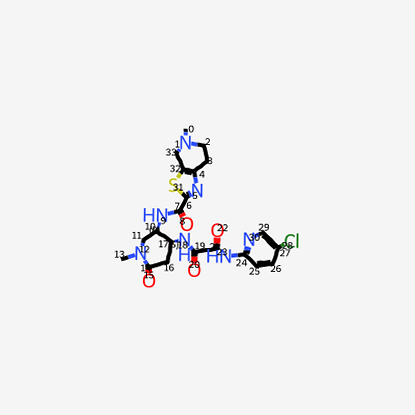 CN1CCc2nc(C(=O)N[C@@H]3CN(C)C(=O)C[C@@H]3NC(=O)C(=O)Nc3ccc(Cl)cn3)sc2C1